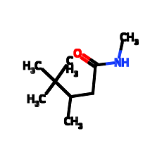 CNC(=O)CC(C)C(C)(C)C